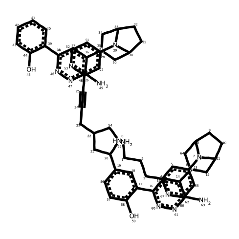 NCCCc1cc(N2C3CCC2CN(c2cc(-c4cc(C5CC(CC#Cc6cc(N7C8CCC7CN(c7cc(-c9ccccc9O)nnc7N)C8)ccn6)CN5)ccc4O)nnc2N)C3)ccn1